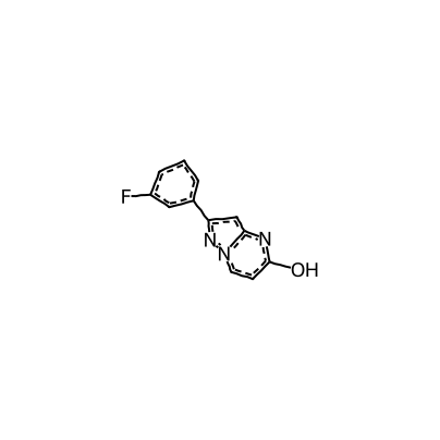 Oc1ccn2nc(-c3cccc(F)c3)cc2n1